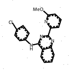 COc1cccc(-c2nc(Nc3ccc(Cl)cc3)c3ccccc3n2)n1